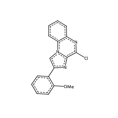 COc1ccccc1-c1cn2c(n1)c(Cl)nc1ccccc12